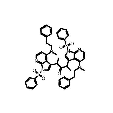 CC(C(=O)C(C)c1cn(S(=O)(=O)c2ccccc2)c2nccc(N(C)CCc3ccccc3)c12)c1cn(S(=O)(=O)c2ccccc2)c2nccc(N(C)CCc3ccccc3)c12